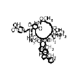 CO[C@H]1/C=C\C=C(/C)C(=O)NC2=CC(=O)C(NCCN3CCN(C(=O)O)CC3)=C(C[C@@H](C)C[C@](OC)([C@H]3CC[C@@]4(C)C(=CC[C@@H]5[C@@H]4CC[C@]4(C)C(c6cccnc6)=CC[C@@H]54)C3)[C@@H](O)[C@@H](C)/C=C(\C)[C@@H]1OC(N)=O)C2=O